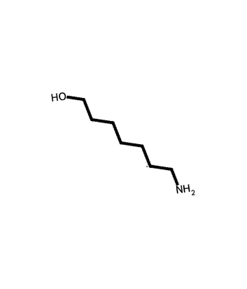 NC[CH]CCCCCO